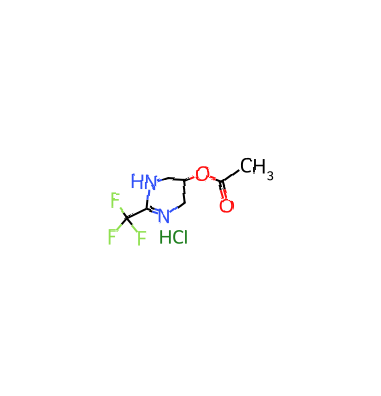 CC(=O)OC1CN=C(C(F)(F)F)NC1.Cl